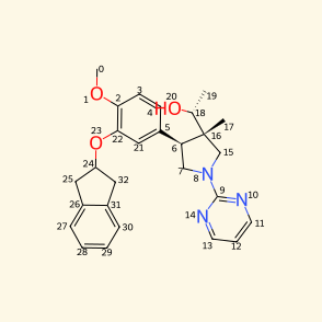 COc1ccc([C@@H]2CN(c3ncccn3)C[C@@]2(C)[C@@H](C)O)cc1OC1Cc2ccccc2C1